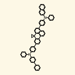 c1ccc(-c2ccc(N(c3ccccc3)c3ccc(-c4ccc5c(c4)C4(CC4)c4ccc(-c6ccc(N(c7ccccc7)c7ccc8ccccc8c7)cc6)c6cccc-5c46)cc3)cc2)cc1